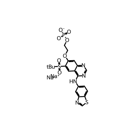 CC(C)(C)S(=O)(=O)c1cc2c(Nc3ccc4scnc4c3)ncnc2cc1OCCOP(=O)([O-])[O-].[Na+].[Na+]